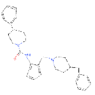 O=C(Nc1ccccc1CN1CCC(Cc2ccccc2)CC1)N1CCC(c2ccccc2)CC1